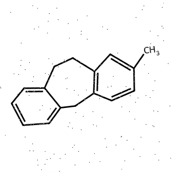 Cc1ccc2c(c1)CCc1ccccc1C2